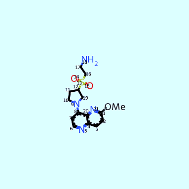 COc1ccc2nccc(N3CCC(S(=O)(=O)CCN)C3)c2n1